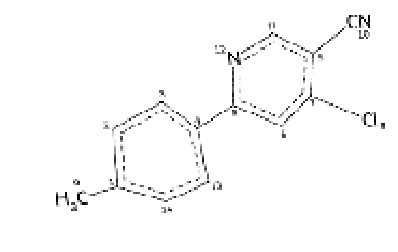 Cc1ccc(-c2cc(Cl)c(C#N)cn2)cc1